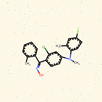 Cc1ccccc1C(=NO)c1ccc(N(C)c2ccc(F)cc2C)cc1Cl